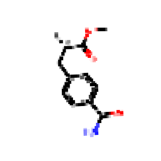 COC(=O)[C@@H](C)Cc1ccc(C(N)=O)cc1